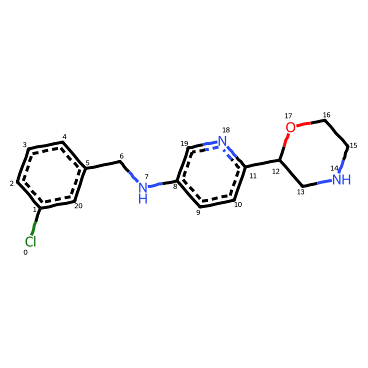 Clc1cccc(CNc2ccc(C3CNCCO3)nc2)c1